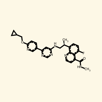 CNC(=O)c1ccnc2c([C@H](C)CNc3cc(-c4ccc(OCC5CC5)nc4)ncn3)ccc(F)c12